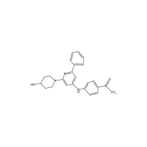 CC(=O)c1ccc(Nc2cc(-c3ccccc3)nc(N3CCC(O)CC3)c2)cc1